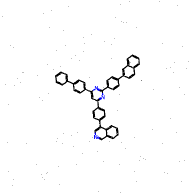 c1ccc(-c2ccc(-c3cc(-c4ccc(-c5cncc6ccccc56)cc4)nc(-c4ccc(-c5ccc6ccccc6c5)cc4)n3)cc2)cc1